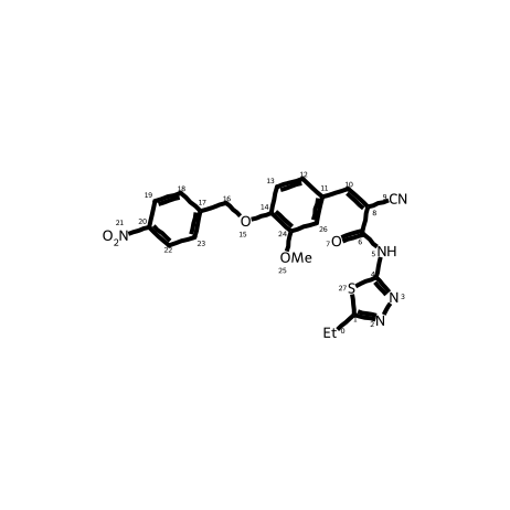 CCc1nnc(NC(=O)C(C#N)=Cc2ccc(OCc3ccc([N+](=O)[O-])cc3)c(OC)c2)s1